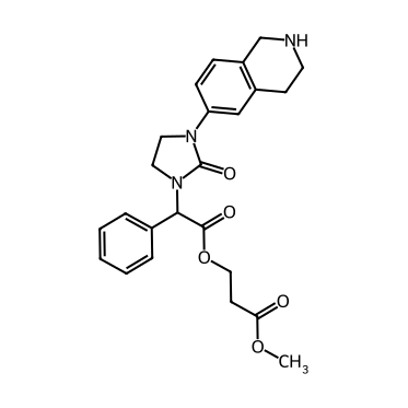 COC(=O)CCOC(=O)C(c1ccccc1)N1CCN(c2ccc3c(c2)CCNC3)C1=O